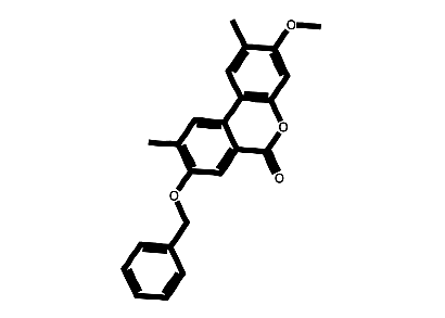 COc1cc2oc(=O)c3cc(OCc4ccccc4)c(C)cc3c2cc1C